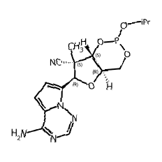 CC(C)OP1OC[C@H]2O[C@@H](c3ccc4c(N)ncnn34)[C@](C)(C#N)[C@@H]2O1